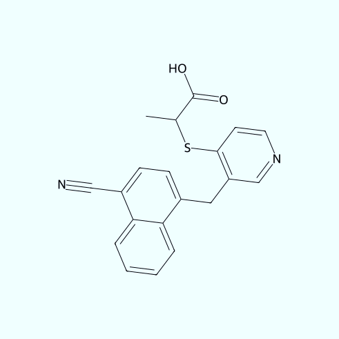 CC(Sc1ccncc1Cc1ccc(C#N)c2ccccc12)C(=O)O